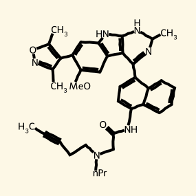 CC#CCCN(CCC)CC(=O)Nc1ccc(C2=NC(C)Nc3[nH]c4cc(-c5c(C)noc5C)c(OC)cc4c32)c2ccccc12